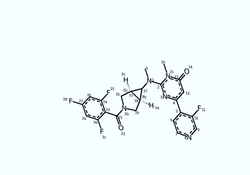 CN(c1nc(-c2ccncc2F)cc(=O)n1C)C1[C@H]2CN(C(=O)c3c(F)cc(F)cc3F)C[C@@H]12